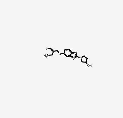 NC/C(=C\F)COc1ccc2nc(N3CCC(O)C3)oc2c1